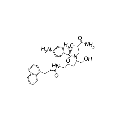 CC(CN(C(CO)CCCNC(=O)[CH]Cc1cccc2ccccc12)S(=O)(=O)c1ccc(N)cc1)C(N)=O